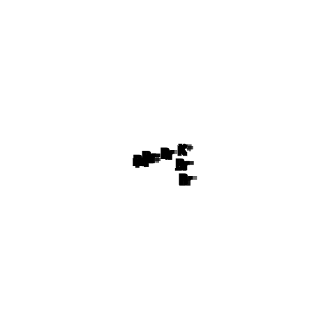 [Br-].[Br-].[Br-].[Br-].[K+].[Ru+3]